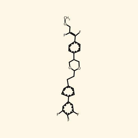 COC/C(F)=C(\F)c1ccc(C2COC(CCc3ccc(-c4cc(F)c(F)c(F)c4)cc3)OC2)cc1